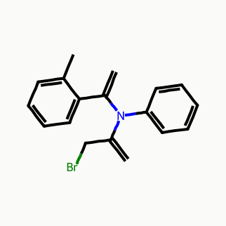 C=C(CBr)N(C(=C)c1ccccc1C)c1ccccc1